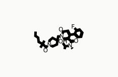 CCCCC(C)(C)C(=O)N1CCC(O)(Cn2cc(C(=O)N(C)C(C)C)c(-c3ccccc3F)cc2=O)CC1